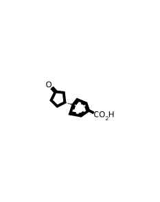 O=C1CC[C@@H](c2ccc(C(=O)O)cc2)C1